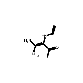 C=CNC(C(C)=O)=C(N)N